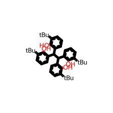 CC(C)(C)c1cccc(C(c2cccc(C(C)(C)C)c2O)C(c2cccc(C(C)(C)C)c2O)c2cccc(C(C)(C)C)c2O)c1O